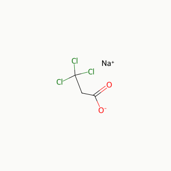 O=C([O-])CC(Cl)(Cl)Cl.[Na+]